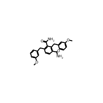 COc1cccc(Cc2ccc(C(N)=O)c(Cc3cccc(OC)c3)c2C(N)=O)c1